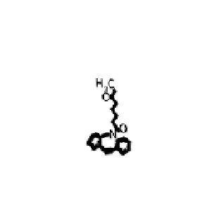 CCC(=O)CCCCC(=O)N1Cc2ccccc2C#Cc2ccccc21